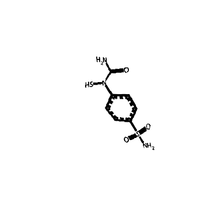 NC(=O)N(S)c1ccc(S(N)(=O)=O)cc1